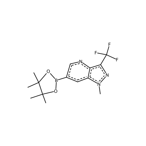 Cn1nc(C(F)(F)F)c2ncc(B3OC(C)(C)C(C)(C)O3)cc21